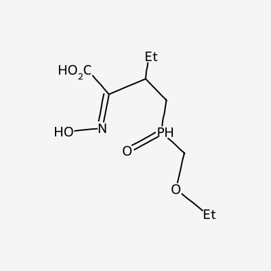 CCOC[PH](=O)CC(CC)C(=NO)C(=O)O